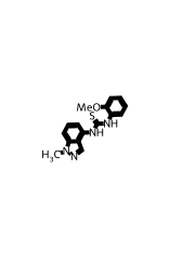 COc1ccccc1NC(=S)Nc1cccc2c1cnn2C